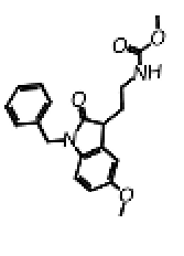 COC(=O)NCCC1C(=O)N(Cc2ccccc2)c2ccc(OC)cc21